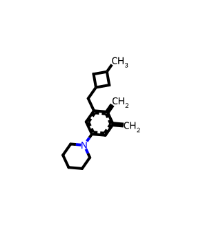 C=c1cc(N2CCCCC2)cc(CC2CC(C)C2)c1=C